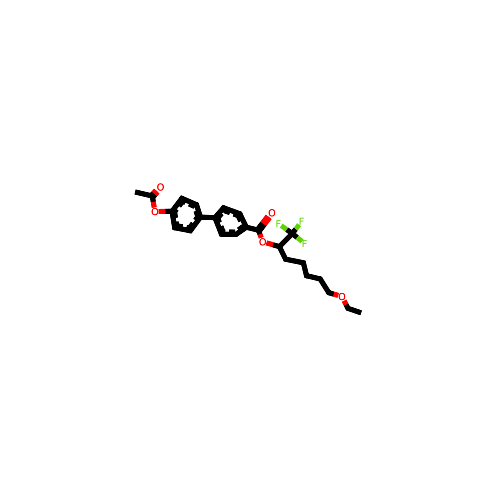 CCOCCCCCC(OC(=O)c1ccc(-c2ccc(OC(C)=O)cc2)cc1)C(F)(F)F